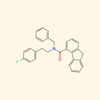 O=C(c1cccc2c1-c1ccccc1C2)N(CCc1ccc(F)cc1)Cc1ccccc1